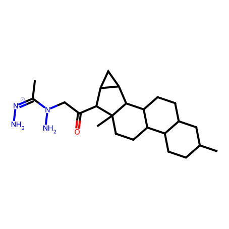 C/C(=N/N)N(N)CC(=O)C1C2CC2C2C3CCC4CC(C)CCC4C3CCC12C